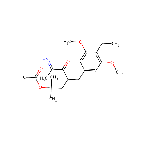 CCc1c(OC)cc(CC(CC(C)(C)OC(C)=O)C(=O)C(C)=N)cc1OC